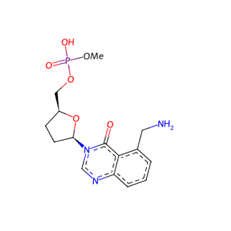 COP(=O)(O)OC[C@@H]1CC[C@H](n2cnc3cccc(CN)c3c2=O)O1